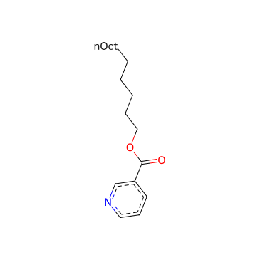 CCCCCCCCCCCCCOC(=O)c1cccnc1